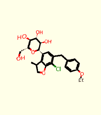 CCOc1ccc(Cc2cc([C@@H]3O[C@H](CO)[C@@H](O)[C@H](O)[C@H]3O)c3c(c2Cl)OCC3C)cc1